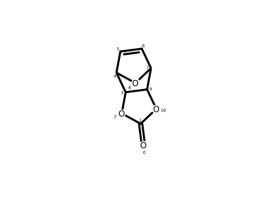 O=C1OC2C3C=CC(O3)C2O1